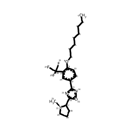 CCCCCCCCOc1ccc(-c2noc(C3CCCN3C)n2)cc1C(F)(F)F